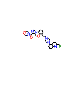 O=C(c1ncn2c1COc1c(CCN3CCN(c4cccc5nc(CF)ccc45)CC3)cccc1-2)N1CCOCC1